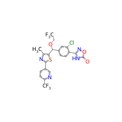 Cc1nc(-c2ccc(C(F)(F)F)nc2)sc1C(OCC(F)(F)F)c1ccc(-c2noc(=O)[nH]2)c(Cl)c1